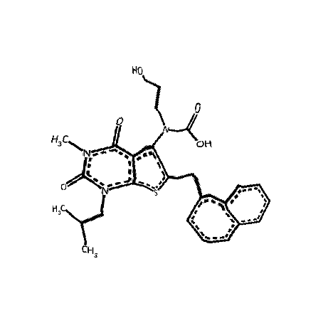 CC(C)Cn1c(=O)n(C)c(=O)c2c(N(CCO)C(=O)O)c(Cc3cccc4ccccc34)sc21